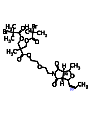 C/C=C\C1OC(C)[C@H]2C(=O)N(CCOCCOC(=O)C(C)(COC(=O)C(C)(C)Br)COC(=O)C(C)(C)Br)C(=O)[C@@H]12